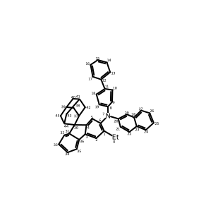 CCc1cc2c(cc1N(c1ccc(-c3ccccc3)cc1)c1ccc3ccccc3c1)C1(c3ccccc3-2)C2CC3CC(C2)CC1C3